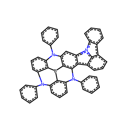 c1ccc(N2c3cccc4c3B3c5c2cccc5N(c2ccccc2)c2c3c(cc3c2c2cccc5c6ccccc6n3c52)N4c2ccccc2)cc1